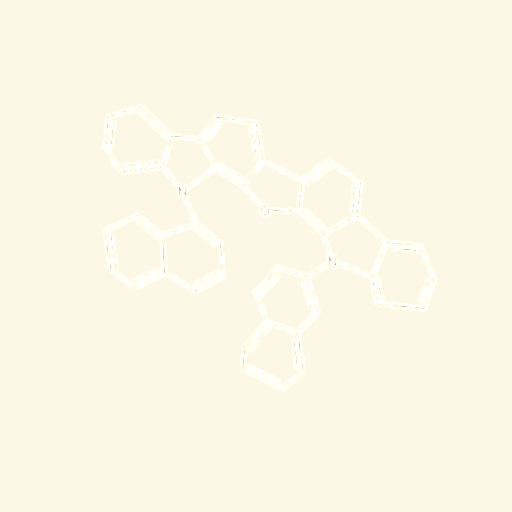 c1ccc2cc(-n3c4ccccc4c4ccc5c6ccc7c8ccccc8n(-c8cccc9ccccc89)c7c6oc5c43)ccc2c1